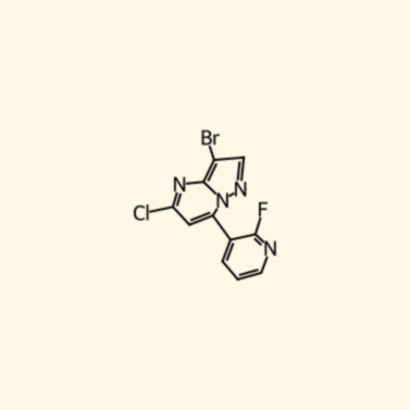 Fc1ncccc1-c1cc(Cl)nc2c(Br)cnn12